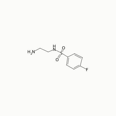 NCCNS(=O)(=O)c1ccc(F)cc1